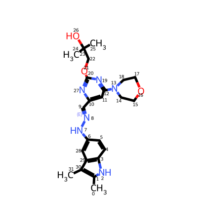 Cc1[nH]c2ccc(N/N=C/c3cc(N4CCOCC4)nc(OCC(C)(C)O)n3)cc2c1C